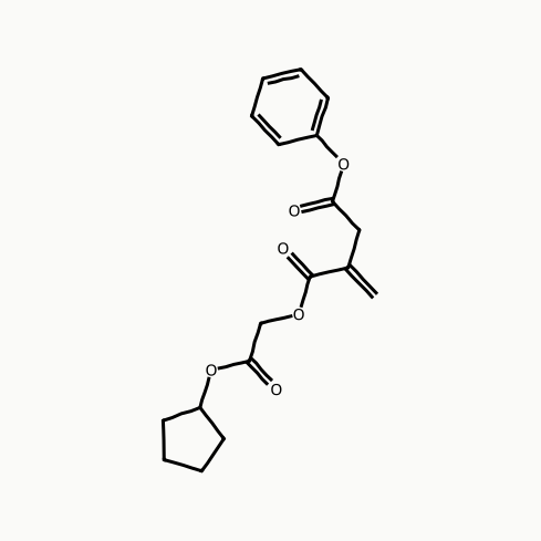 C=C(CC(=O)Oc1ccccc1)C(=O)OCC(=O)OC1CCCC1